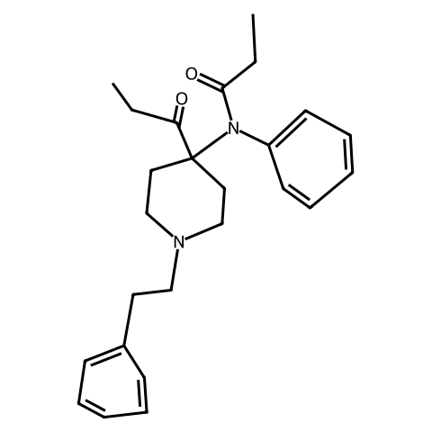 CCC(=O)N(c1ccccc1)C1(C(=O)CC)CCN(CCc2ccccc2)CC1